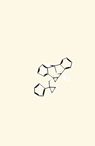 CC12N[C@@](C)(c3ccccc31)C1C[C@]1(CC1(c3ccccc3)CC1)c1ccccc12